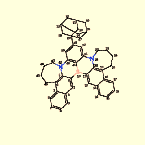 c1ccc2c3c4c(cc2c1)B1c2cc5ccccc5c5c2N(CCCC5)c2cc(C56CC7CC(CC(C7)C5)C6)cc(c21)N4CCCC3